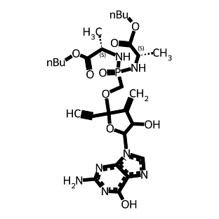 C#CC1(OCP(=O)(N[C@@H](C)C(=O)OCCCC)N[C@@H](C)C(=O)OCCCC)OC(n2cnc3c(O)nc(N)nc32)C(O)C1=C